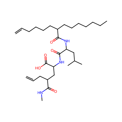 C=CCCCCC(CCCCCCC)C(=O)NC(CC(C)C)C(=O)NC(CC(CC=C)C(=O)NC)C(=O)O